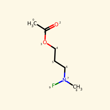 CC(=O)OCCCN(C)F